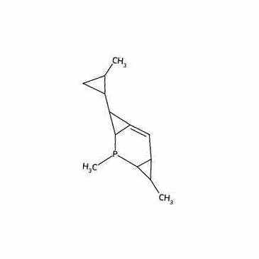 CC1CC1C1C2=CC3C(C)C3P(C)C21